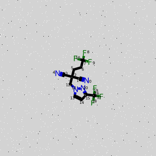 N#CC(C#N)(CCC(F)(F)F)Cn1ccc(C(F)(F)F)n1